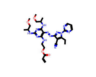 C=CC(=O)OCCNc1nc(NC(C)COC)nc(NC(C)COC)c1N=Nc1nn(-c2ncccn2)c(CC)c1C#N